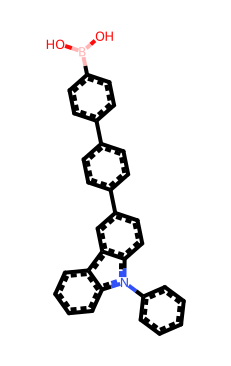 OB(O)c1ccc(-c2ccc(-c3ccc4c(c3)c3ccccc3n4-c3ccccc3)cc2)cc1